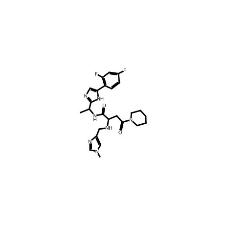 CC(NC(=O)C(CC(=O)N1CCCCC1)NCc1cn(C)cn1)c1ncc(-c2ccc(F)cc2F)[nH]1